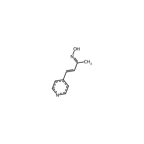 CC(C=Cc1ccncc1)=NO